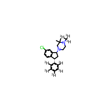 [2H]c1c([2H])c([2H])c([C@H]2C[C@H](N3CCN(C([2H])([2H])[2H])C(C)(C)C3)c3cc(Cl)ccc32)c([2H])c1[2H]